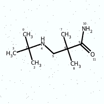 CC(C)(C)NCC(C)(C)C(N)=O